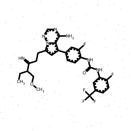 CCC(COC)C(=N)CCc1cc(-c2ccc(NC(=O)Nc3cc(C(F)(F)F)ccc3F)c(F)c2)c2c(N)ncnn12